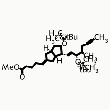 CC#CCC(C)[C@@H](/C=C/[C@@H]1[C@H]2CC(=CCCCC(=O)OC)C[C@H]2C[C@H]1O[Si](C)(C)C(C)(C)C)O[Si](C)(C)C(C)(C)C